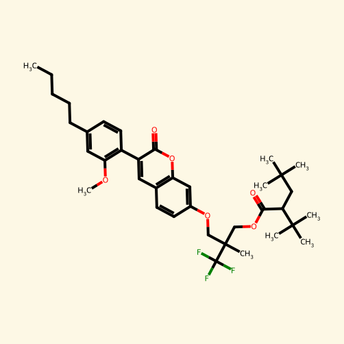 CCCCCc1ccc(-c2cc3ccc(OCC(C)(COC(=O)C(CC(C)(C)C)C(C)(C)C)C(F)(F)F)cc3oc2=O)c(OC)c1